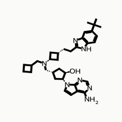 CC(C)(C)c1ccc2[nH]c(CC[C@H]3C[C@@H](N(CC4CCC4)C[C@@H]4C[C@@H](O)[C@H](n5ccc6c(N)ncnc65)C4)C3)nc2c1